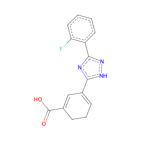 O=C(O)C1=CC(c2nc(-c3ccccc3F)n[nH]2)=CCC1